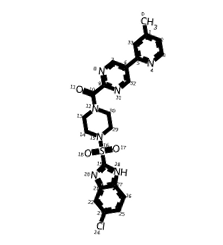 Cc1ccnc(-c2cnc(C(=O)N3CCN(S(=O)(=O)c4nc5cc(Cl)ccc5[nH]4)CC3)nc2)c1